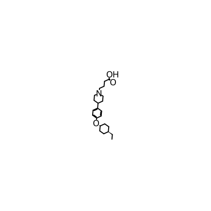 CC[C@H]1CC[C@H](Oc2ccc(C3CCN(CCCC(=O)O)CC3)cc2)CC1